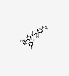 O=[N+]([O-])c1ccc(NCCNc2ncc(-c3ncc[nH]3)c(-c3ccc(F)cc3F)n2)nc1